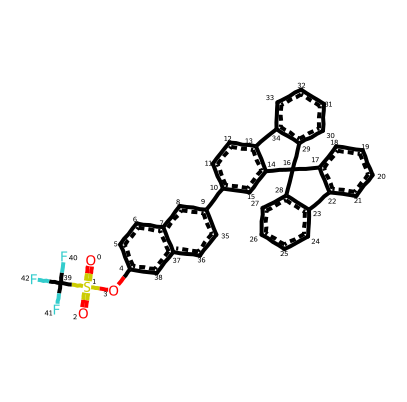 O=S(=O)(Oc1ccc2cc(-c3ccc4c(c3)C3(c5ccccc5-c5ccccc53)c3ccccc3-4)ccc2c1)C(F)(F)F